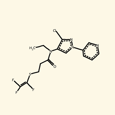 CCN(C(=O)CCSC(F)=C(F)F)c1cn(-c2cccnc2)nc1Cl